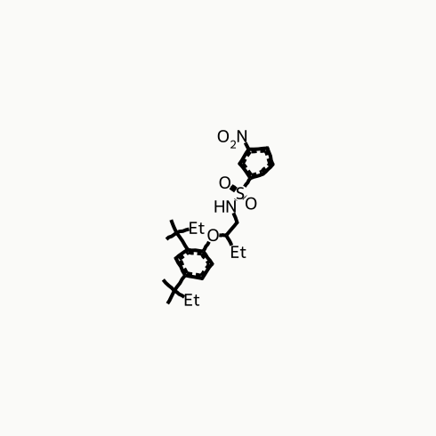 CCC(CNS(=O)(=O)c1cccc([N+](=O)[O-])c1)Oc1ccc(C(C)(C)CC)cc1C(C)(C)CC